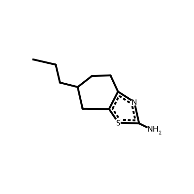 CCCC1CCc2nc(N)sc2C1